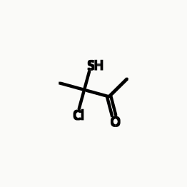 CC(=O)C(C)(S)Cl